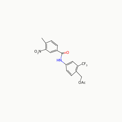 CC(=O)OCc1ccc(NC(=O)c2ccc(C)c([N+](=O)[O-])c2)cc1C(F)(F)F